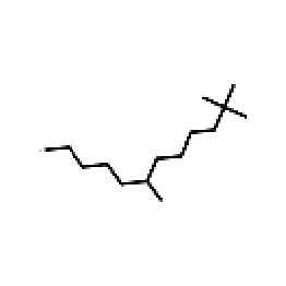 [CH2]CCCCC(C)CCCCC(C)(C)C